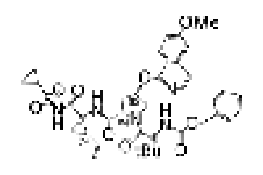 C=C[C@@H]1C[C@]1(NC(=O)[C@@H]1C[C@@H](Oc2nccc3cc(OC)ccc23)CN1C(=O)[C@@H](NC(=O)OCc1ccccc1)C(C)(C)C)C(=O)NS(=O)(=O)C1CC1